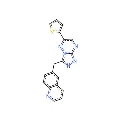 c1csc(-c2cnc3nnc(Cc4ccc5ncccc5c4)n3n2)c1